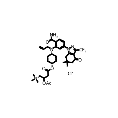 C=CCN(c1cc(-n2nc(C(F)(F)F)c3c2CC(C)(C)CC3=O)ccc1C(N)=O)[C@H]1CC[C@H](OC(=O)CC(C[N+](C)(C)C)OC(C)=O)CC1.[Cl-]